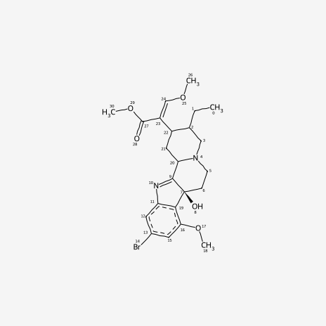 CCC1CN2CC[C@@]3(O)C(=Nc4cc(Br)cc(OC)c43)C2CC1/C(=C\OC)C(=O)OC